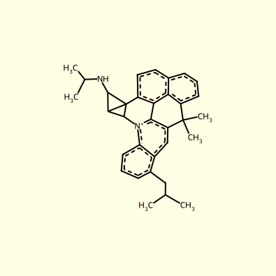 CC(C)Cc1cccc2c1cc1c3[n+]2C2C4C(NC(C)C)C42c2ccc4cccc(c4c2-3)C1(C)C